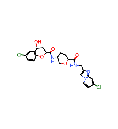 O=C(NCc1cn2ccc(Cl)cc2n1)[C@@H]1CC[C@@H](NC(=O)[C@@H]2C[C@H](O)c3cc(Cl)ccc3O2)CO1